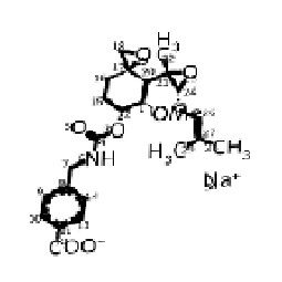 CO[C@@H]1[C@H](OC(=O)NCc2ccc(C(=O)[O-])cc2)CC[C@]2(CO2)[C@H]1[C@]1(C)O[C@@H]1CC=C(C)C.[Na+]